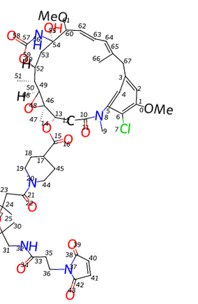 COc1cc2cc(c1Cl)N(C)C(=O)C[C@H](OC(=O)C1CCN(C(=O)CC(C)(C)OC(C)(C)CNC(=O)CCN3C(=O)C=CC3=O)CC1)[C@@]1(C)O[C@H]1[C@H](C)[C@@H]1C[C@@](O)(NC(=O)O1)C(OC)/C=C/C=C(\C)C2